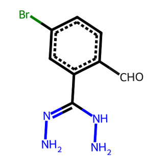 N/N=C(\NN)c1cc(Br)ccc1C=O